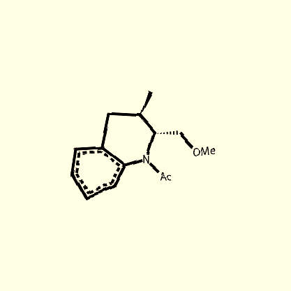 COC[C@H]1[C@H](C)Cc2ccccc2N1C(C)=O